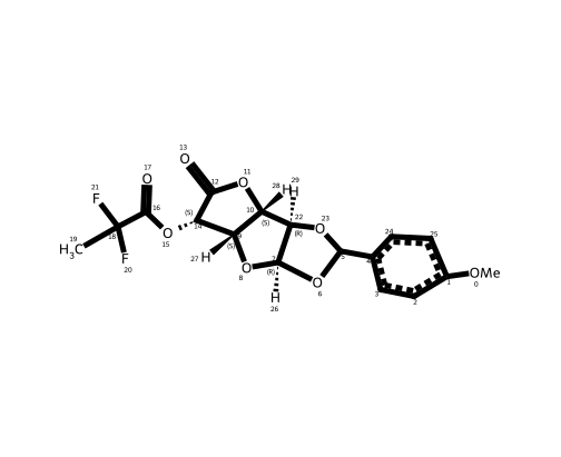 COc1ccc(C2O[C@H]3O[C@H]4[C@H](OC(=O)[C@H]4OC(=O)C(C)(F)F)[C@H]3O2)cc1